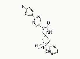 CN(C)C1(c2ccccc2)CCC2(CC1)CN(c1cnc(-c3ccc(F)cc3)nc1)C(=O)N2